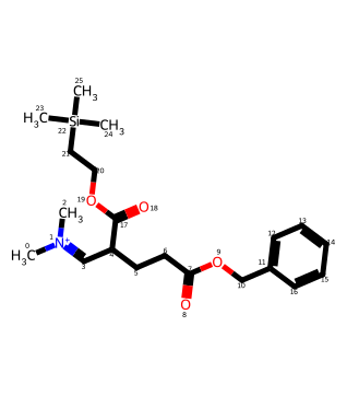 C[N+](C)=CC(CCC(=O)OCc1ccccc1)C(=O)OCC[Si](C)(C)C